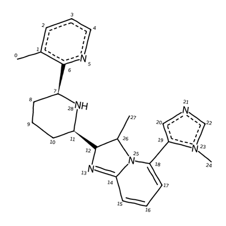 Cc1cccnc1[C@@H]1CCC[C@H](C2N=C3C=CC=C(c4cncn4C)N3C2C)N1